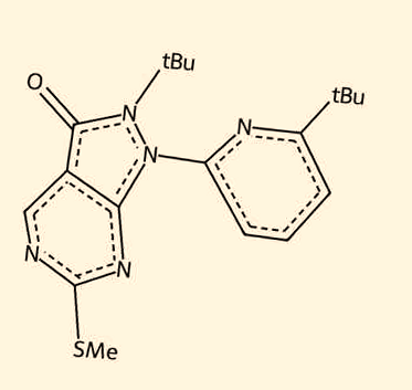 CSc1ncc2c(=O)n(C(C)(C)C)n(-c3cccc(C(C)(C)C)n3)c2n1